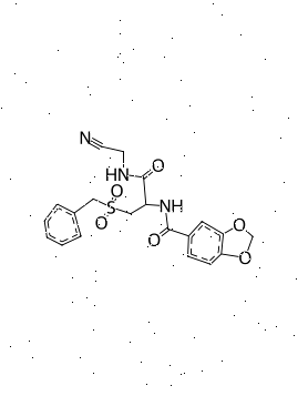 N#CCNC(=O)C(CS(=O)(=O)Cc1ccccc1)NC(=O)c1ccc2c(c1)OCO2